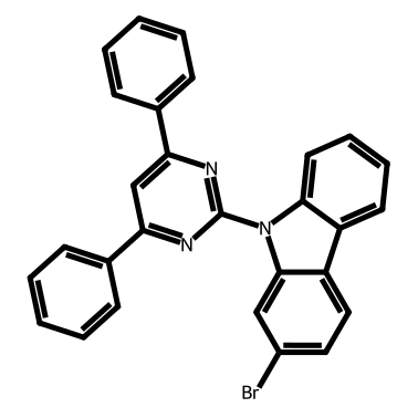 Brc1ccc2c3ccccc3n(-c3nc(-c4ccccc4)cc(-c4ccccc4)n3)c2c1